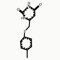 Cc1ccc(SCc2cc(=O)[nH]c(=O)[nH]2)cc1